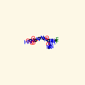 O=C1CCC(N2C(=O)c3ccc(N4CCC(CN5CCC(N6Cc7cc(NC(=O)c8cnn9cccnc89)c(N8CCN(C9CC(F)(F)C9)CC8)cc7C6=O)CC5)CC4)cc3C2=O)C(=O)N1